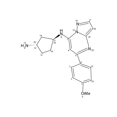 COc1ccc(-c2cc(N[C@H]3CC[C@H](N)C3)n3nccc3n2)cc1